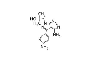 CC(C)(O)Cn1nc(-c2ccc(N)cc2)c2c(N)ncnc21